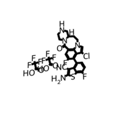 N#Cc1c(N)sc2c(F)ccc(-c3c(F)cc4c5c3c(Cl)cn5CC[C@@H]3CNCCN3C4=O)c12.O=C(O)C(F)(F)F.O=C(O)C(F)(F)F